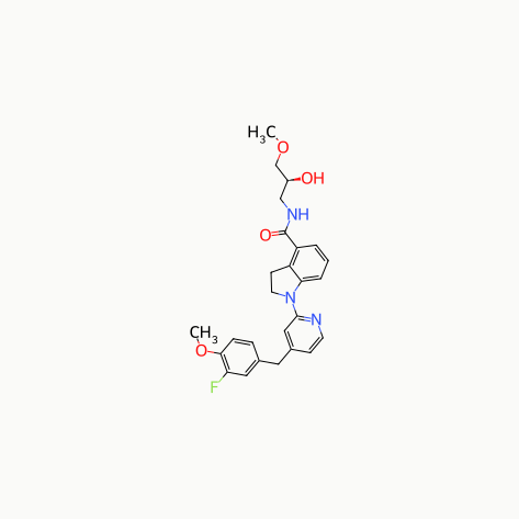 COC[C@@H](O)CNC(=O)c1cccc2c1CCN2c1cc(Cc2ccc(OC)c(F)c2)ccn1